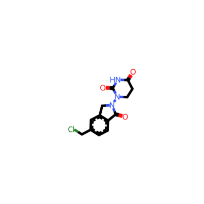 O=C1CCN(N2Cc3cc(CCl)ccc3C2=O)C(=O)N1